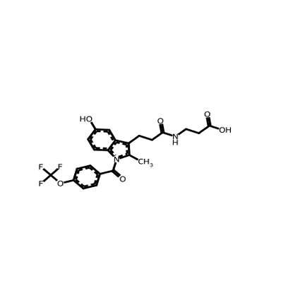 Cc1c(CCC(=O)NCCC(=O)O)c2cc(O)ccc2n1C(=O)c1ccc(OC(F)(F)F)cc1